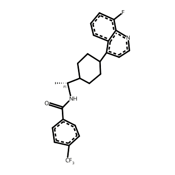 C[C@@H](NC(=O)c1ccc(C(F)(F)F)cc1)C1CCC(c2ccnc3c(F)cccc23)CC1